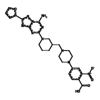 Nc1nc(N2CCCC(CN3CCN(c4ccc(C(=O)O)c([N+](=O)[O-])c4)CC3)C2)nc2nc(-c3ccco3)nn12